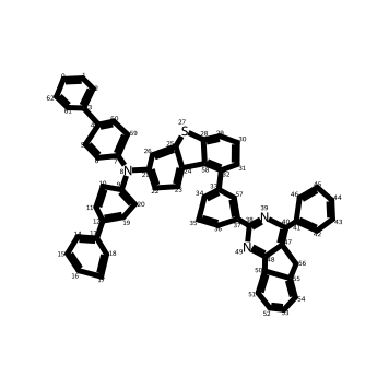 c1ccc(-c2ccc(N(c3ccc(-c4ccccc4)cc3)c3ccc4c(c3)sc3cccc(-c5cccc(-c6nc(-c7ccccc7)c7c(n6)-c6ccccc6C7)c5)c34)cc2)cc1